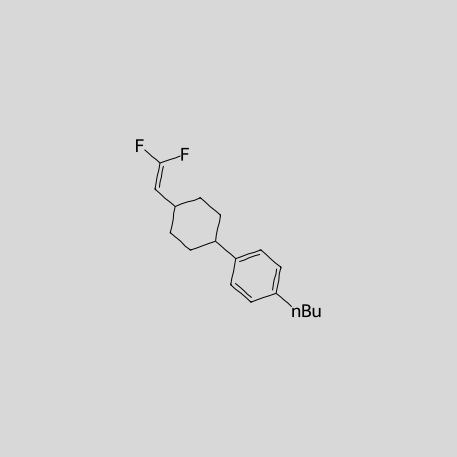 CCCCc1ccc(C2CCC(C=C(F)F)CC2)cc1